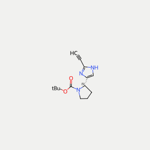 C#Cc1nc([C@@H]2CCCN2C(=O)OC(C)(C)C)c[nH]1